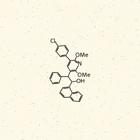 COc1nc(OC)c(C(c2ccccc2)C(O)c2cccc3ccccc23)cc1-c1ccc(Cl)cc1